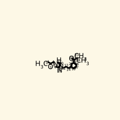 CCC(=O)CN1C[C@@H]2C[C@H]1CN2CCCc1cccc(C(=O)C(C)C)c1